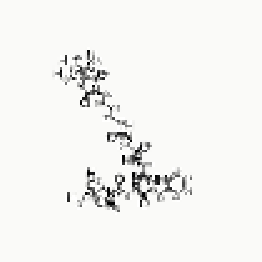 CC(C)(C)CNC(=O)CNC(=O)[C@H](Cc1ccccc1)NC(=O)CNC(=O)CNC(=O)CCCCCN1C(=O)CC(C(C)(C)C)C1=O